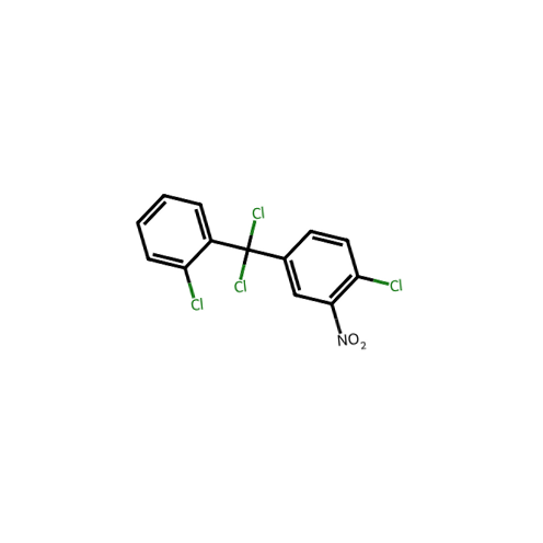 O=[N+]([O-])c1cc(C(Cl)(Cl)c2ccccc2Cl)ccc1Cl